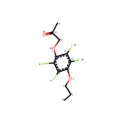 CCCOc1c(F)c(F)c(OCC(C)=O)c(F)c1F